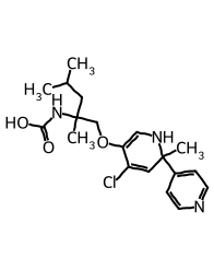 CC(C)CC(C)(COC1=CNC(C)(c2ccncc2)C=C1Cl)NC(=O)O